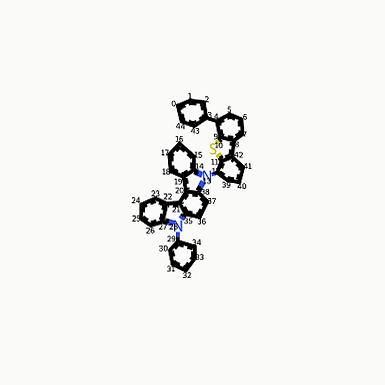 c1ccc(-c2cccc3c2sc2c(-n4c5ccccc5c5c6c7ccccc7n(-c7ccccc7)c6ccc54)cccc23)cc1